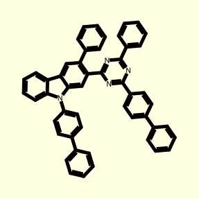 c1ccc(-c2ccc(-c3nc(-c4ccccc4)nc(-c4cc5c(cc4-c4ccccc4)c4ccccc4n5-c4ccc(-c5ccccc5)cc4)n3)cc2)cc1